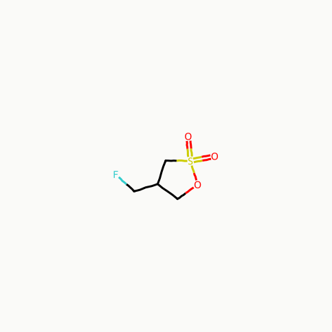 O=S1(=O)CC(CF)CO1